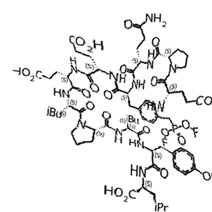 CC[C@H](C)[C@H](NC(=O)[C@@H]1CCCN1C(=O)[C@@H](NC(=O)[C@H](CCC(=O)O)NC(=O)[C@H](CCC(=O)O)NC(=O)[C@H](Cc1ccc(CP(=O)(OF)OF)cc1)NC(=O)[C@H](CCC(N)=O)NC(=O)[C@@H]1CCCN1C(=O)[C@@H](N)CCC(=O)O)[C@@H](C)CC)C(=O)N[C@@H](Cc1ccc(O)cc1)C(=O)N[C@@H](CC(C)C)C(=O)O